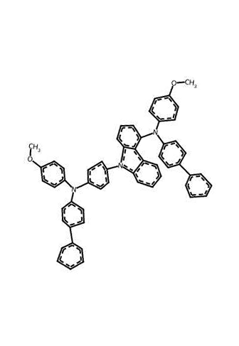 COc1ccc(N(c2ccc(-c3ccccc3)cc2)c2ccc(-n3c4ccccc4c4c(N(c5ccc(OC)cc5)c5ccc(-c6ccccc6)cc5)cccc43)cc2)cc1